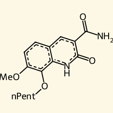 CCCCCOc1c(OC)ccc2cc(C(N)=O)c(=O)[nH]c12